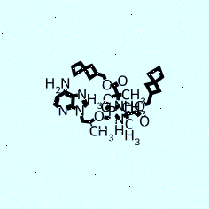 C[C@H](Cn1cnc2c(N)ccnc21)OCP(=O)(NC(C)(C)C(=O)OCC1CC2(CCC2)C1)NC(C)(C)C(=O)OCC1CC2(CCC2)C1